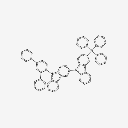 c1ccc(-c2ccc(-n3c4ccccc4c4cc(-n5c6ccccc6c6cc([Si](c7ccccc7)(c7ccccc7)c7ccccc7)ccc65)ccc43)c(-c3ccccc3)c2)cc1